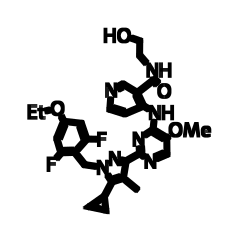 CCOc1cc(F)c(Cn2nc(-c3ncc(OC)c(Nc4ccncc4C(=O)NCCO)n3)c(C)c2C2CC2)c(F)c1